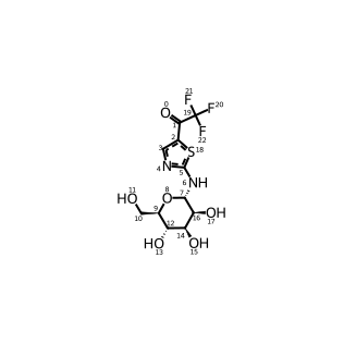 O=C(c1cnc(N[C@H]2O[C@H](CO)[C@@H](O)[C@H](O)[C@@H]2O)s1)C(F)(F)F